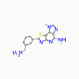 CNc1nc2nc(-c3cccc(CN)c3)sc2c2c1ncn2C